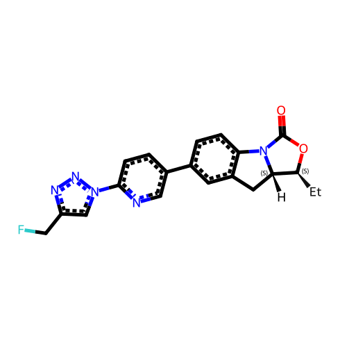 CC[C@@H]1OC(=O)N2c3ccc(-c4ccc(-n5cc(CF)nn5)nc4)cc3C[C@@H]12